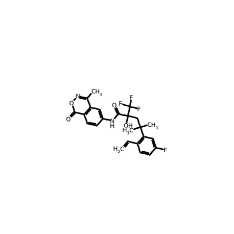 C=Cc1ccc(F)cc1C(C)(C)CC(O)(C(=O)Nc1ccc2c(=O)onc(C)c2c1)C(F)(F)F